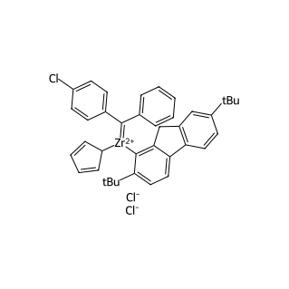 CC(C)(C)c1ccc2c(c1)Cc1c-2ccc(C(C)(C)C)[c]1[Zr+2](=[C](c1ccccc1)c1ccc(Cl)cc1)[CH]1C=CC=C1.[Cl-].[Cl-]